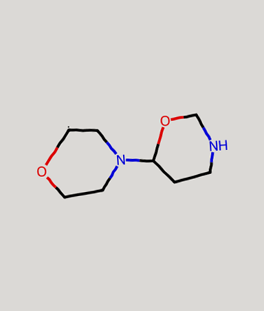 [CH]1CN(C2CCNCO2)CCO1